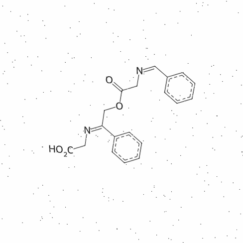 O=C(O)C/N=C(/COC(=O)C/N=C\c1ccccc1)c1ccccc1